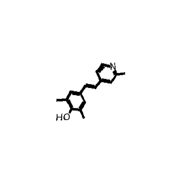 Cc1cc(C=Cc2cc(C)c(O)c(C)c2)ccn1